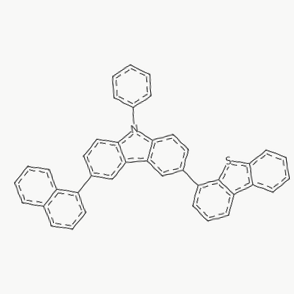 c1ccc(-n2c3ccc(-c4cccc5ccccc45)cc3c3cc(-c4cccc5c4sc4ccccc45)ccc32)cc1